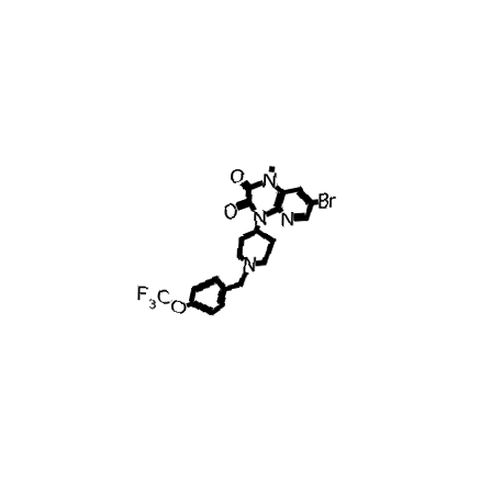 Cn1c(=O)c(=O)n(C2CCN(Cc3ccc(OC(F)(F)F)cc3)CC2)c2ncc(Br)cc21